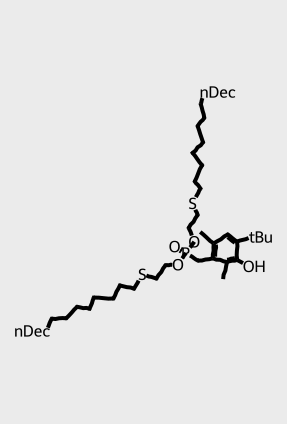 CCCCCCCCCCCCCCCCCCSCCOP(=O)(Cc1c(C)cc(C(C)(C)C)c(O)c1C)OCCSCCCCCCCCCCCCCCCCCC